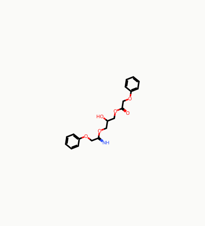 N=C(COc1ccccc1)OCC(O)COC(=O)COc1ccccc1